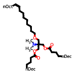 CCCCCCCC/C=C\CCCCCCCCOCC(COC(=O)CCCCCCCCCCCCC)(COC(=O)CCCCCCCCCCCCC)N(C)C